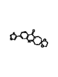 O=c1c2ccc(-c3cncs3)cc2nc2n1CCC1(CC2)OCCO1